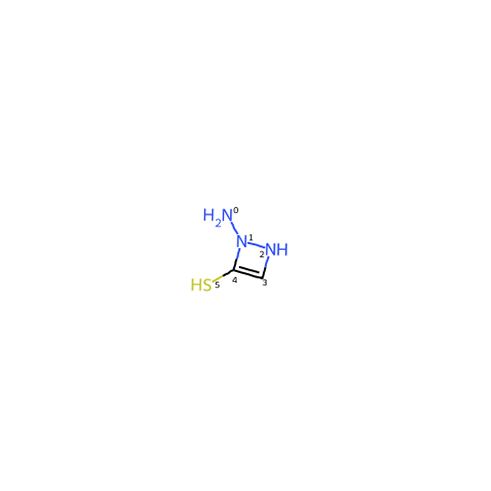 Nn1[nH]cc1S